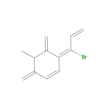 C=C/C(Br)=C1/C=CC(=C)C(C)C1=C